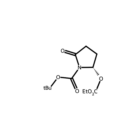 CCOC(=O)O[C@H]1CCC(=O)N1C(=O)OC(C)(C)C